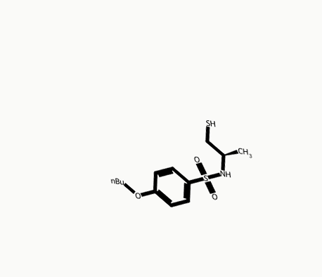 CCCCOc1ccc(S(=O)(=O)N[C@H](C)CS)cc1